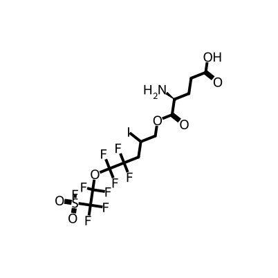 N[C@@H](CCC(=O)O)C(=O)OCC(I)CC(F)(F)C(F)(F)OC(F)(F)C(F)(F)S(=O)(=O)F